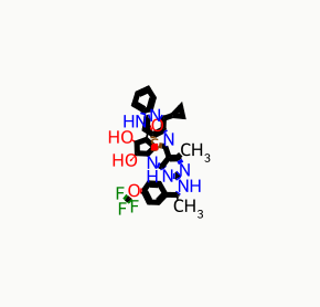 Cc1nc(N[C@H](C)c2ccc(OC(F)(F)F)cc2)nc(N[C@@H]2C[C@H](C(=O)Nc3ccccc3)[C@@H](O)[C@H]2O)c1-c1nc2c(C3CC3)nccc2s1